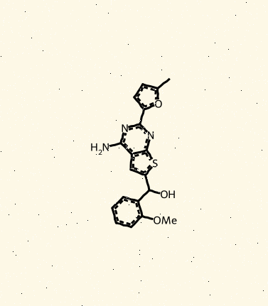 COc1ccccc1C(O)c1cc2c(N)nc(-c3ccc(C)o3)nc2s1